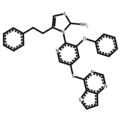 NC1SC=C(CCc2ccccc2)N1c1ncc(Sc2ncnc3ccsc23)cc1Oc1ccccc1